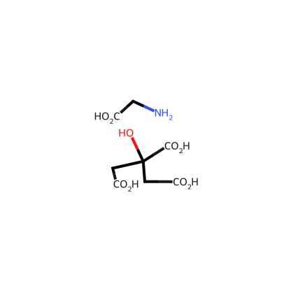 NCC(=O)O.O=C(O)CC(O)(CC(=O)O)C(=O)O